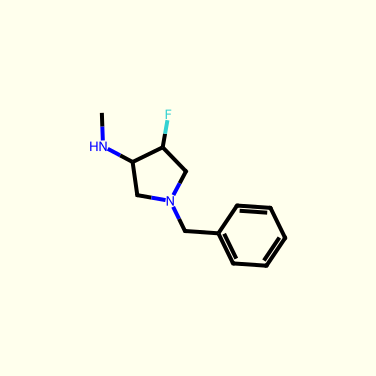 CNC1CN(Cc2ccccc2)CC1F